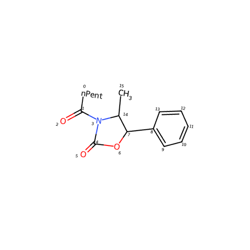 CCCCCC(=O)N1C(=O)OC(c2ccccc2)C1C